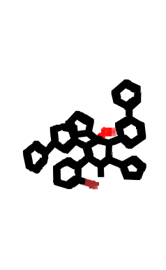 CC1C(c2ccccc2Br)=C(c2cccc(-c3ccccc3)c2)C(O)(C2C=CC=C2)C(c2cccc(-c3ccccc3)c2)C1C1C=CC=C1